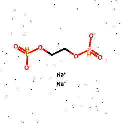 O=[PH]([O-])OCCO[PH](=O)[O-].[Na+].[Na+]